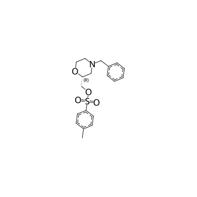 Cc1ccc(S(=O)(=O)OC[C@H]2CN(Cc3ccccc3)CCO2)cc1